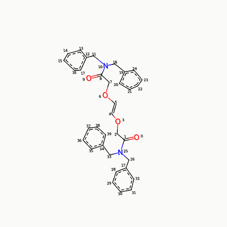 O=C(COC=COCC(=O)N(Cc1ccccc1)Cc1ccccc1)N(Cc1ccccc1)Cc1ccccc1